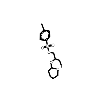 Cc1ccc(S(=O)(=O)OCC(CI)OC2CCCCO2)cc1